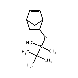 CC(C)(C)[Si](C)(C)OC1CC2C=CC1C2